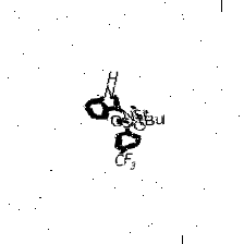 CC(C)(C)[Si](C)(C)N(c1c[nH]c2ccccc12)S(=O)(=O)c1ccc(C(F)(F)F)cc1